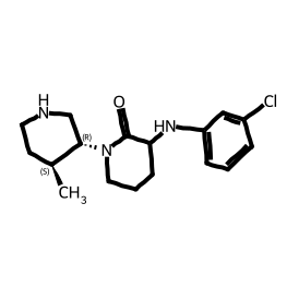 C[C@H]1CCNC[C@@H]1N1CCCC(Nc2cccc(Cl)c2)C1=O